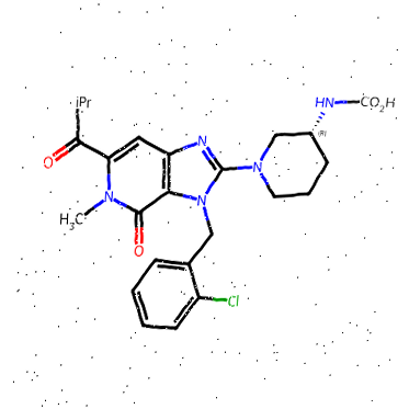 CC(C)C(=O)c1cc2nc(N3CCC[C@@H](NC(=O)O)C3)n(Cc3ccccc3Cl)c2c(=O)n1C